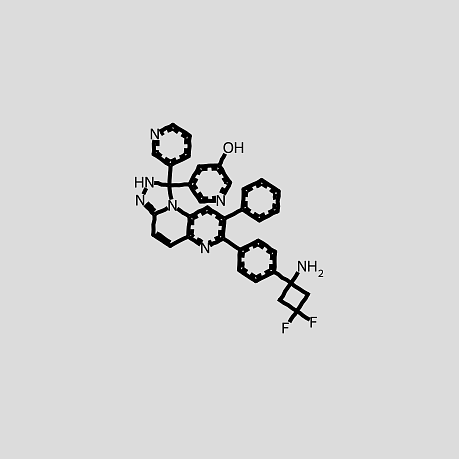 NC1(c2ccc(-c3nc4c(cc3-c3ccccc3)N3C(=NNC3(c3cccnc3)c3cncc(O)c3)C=C4)cc2)CC(F)(F)C1